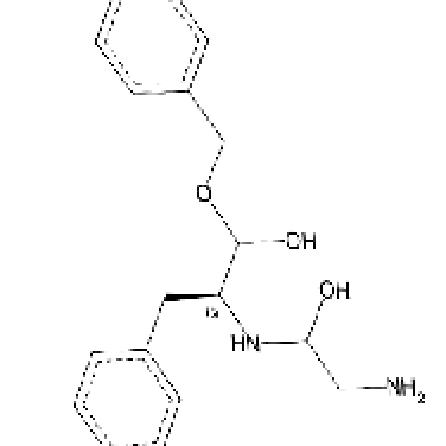 NCC(O)N[C@@H](Cc1ccccc1)C(O)OCc1ccccc1